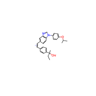 CCC(C)(O)c1ccc(/C=C\c2ccc3c(c2)ncn3-c2ccc(OC(C)C)cc2)cc1